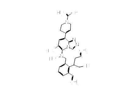 C=CCC(CC)c1c(C=C)cccc1CN(C)c1c(C)cc(C2=CCN(C(=C)C)CC2)c2nncn12